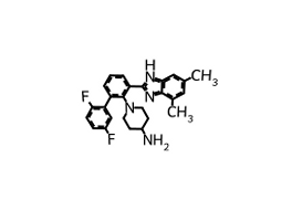 Cc1cc(C)c2nc(-c3cccc(-c4cc(F)ccc4F)c3N3CCC(N)CC3)[nH]c2c1